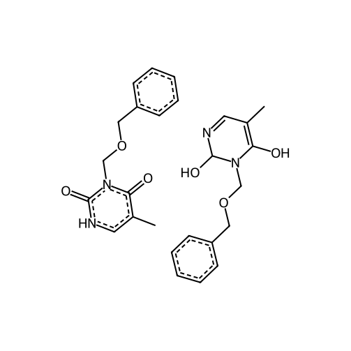 CC1=C(O)N(COCc2ccccc2)C(O)N=C1.Cc1c[nH]c(=O)n(COCc2ccccc2)c1=O